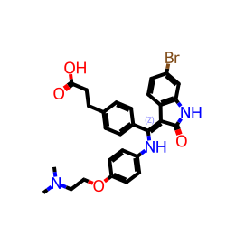 CN(C)CCOc1ccc(N/C(=C2\C(=O)Nc3cc(Br)ccc32)c2ccc(CCC(=O)O)cc2)cc1